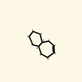 C1=CCC2CCCCC2CC1